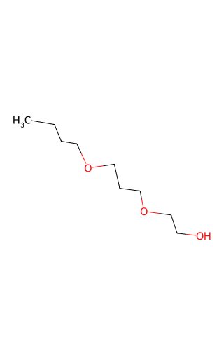 CCCCOCCCOCCO